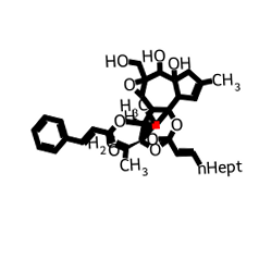 C=C(C)[C@@]12OC3(/C=C/CCCCCCC)O[C@@H]1C1C4OC4(CO)C(O)C4(O)CC(C)=CC4C1(O3)C(C)C2OC(=O)/C=C/c1ccccc1